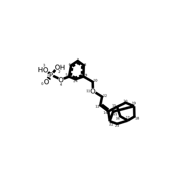 O=P(O)(O)Oc1cccc(COCC=C2C3CC4CC(C3)CC2C4)c1